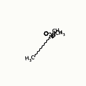 CCCCCCCCCCCCCCC[n+]1ccn(C(C)C)c1Cc1ccccc1